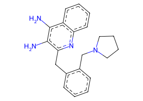 Nc1c(Cc2ccccc2CN2CCCC2)nc2ccccc2c1N